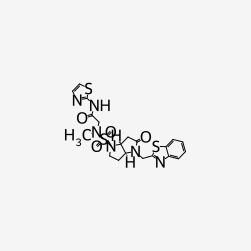 CN(CC(=O)Nc1nccs1)S(=O)(=O)N1CC[C@H]2[C@H]1CC(=O)N2Cc1nc2ccccc2s1